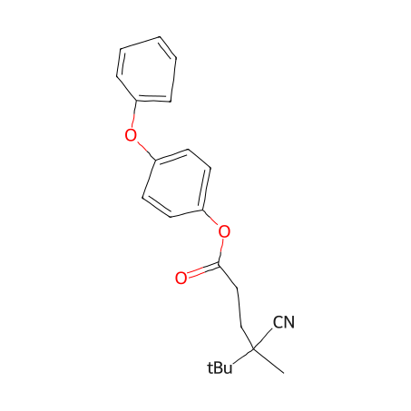 CC(C)(C)C(C)(C#N)CCC(=O)Oc1ccc(Oc2ccccc2)cc1